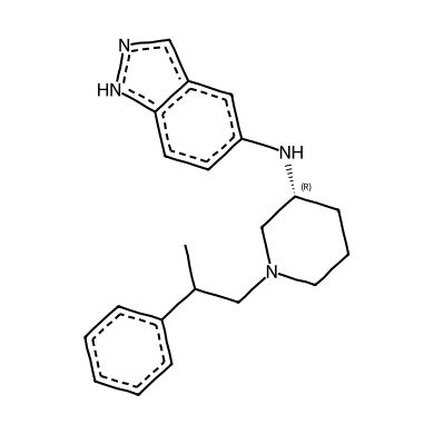 CC(CN1CCC[C@@H](Nc2ccc3[nH]ncc3c2)C1)c1ccccc1